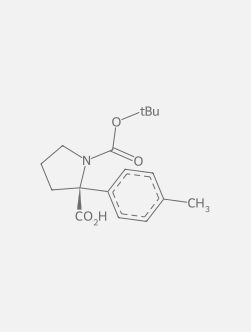 Cc1ccc([C@]2(C(=O)O)CCCN2C(=O)OC(C)(C)C)cc1